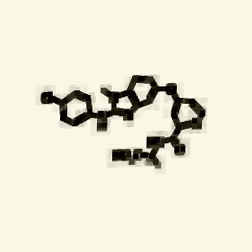 C[C@H](NC(=O)c1cc(Oc2ccc3c(c2)nc(Nc2ccc(Cl)cc2)n3C)ccn1)C(=O)O